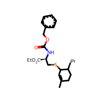 CCOC(=O)[C@H](CSC1C=C(C)CCC1C(C)C)NC(=O)OCc1ccccc1